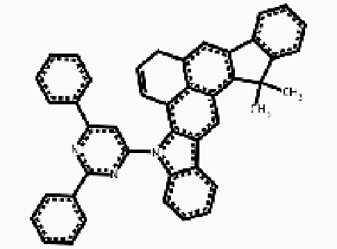 CC1(C)c2ccccc2-c2cc3c4c(c5c(cc4c21)c1ccccc1n5-c1cc(-c2ccccc2)nc(-c2ccccc2)n1)C=CC3